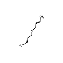 C/C=C/C[N]C/C=C/C